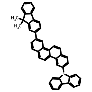 CC1(C)c2ccccc2-c2ccc(-c3ccc4ccc5c6cc(-n7c8ccccc8c8ccccc87)ccc6ccc5c4c3)cc21